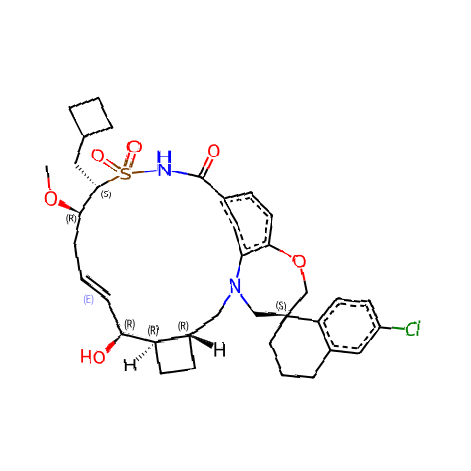 CO[C@@H]1C/C=C/[C@H](O)[C@@H]2CC[C@H]2CN2C[C@@]3(CCCc4cc(Cl)ccc43)COc3ccc(cc32)C(=O)NS(=O)(=O)[C@H]1CC1CCC1